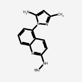 Cc1cc(N)n(-c2cccc3nc(NC(C)(C)C)ccc23)n1